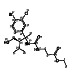 CCOC(=O)CCNC(=O)NC(C)(c1ccc(Br)c(Cl)c1)[C@H](CO)C(C)C